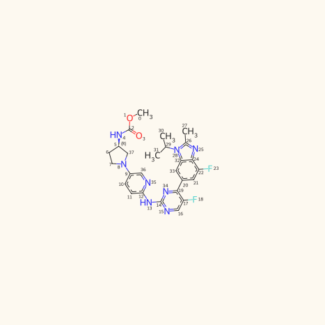 COC(=O)N[C@@H]1CCN(c2ccc(Nc3ncc(F)c(-c4cc(F)c5nc(C)n(C(C)C)c5c4)n3)nc2)C1